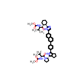 COC(=O)NC(C(=O)[C@H]1CCCC[C@H]1c1ncc(-c2ccc3cc(-c4ccc(-c5[nH]c([C@@H]6CCCN6C(=O)[C@@H](NC(=O)OC)C(C)C)c6c5CCC6)cc4)ccc3c2)[nH]1)C(C)C